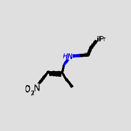 C/C(=C\[N+](=O)[O-])NCC(C)C